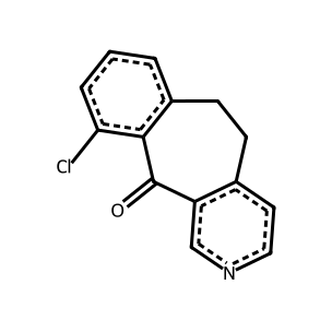 O=C1c2cnccc2CCc2cccc(Cl)c21